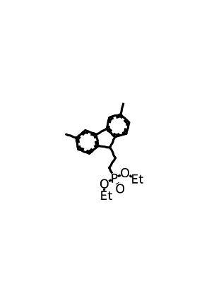 CCOP(=O)(CCC1c2ccc(C)cc2-c2cc(C)ccc21)OCC